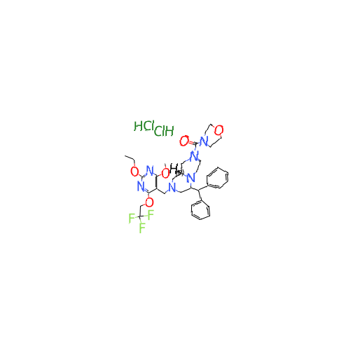 CCOc1nc(OC)c(CN2CC(C(c3ccccc3)c3ccccc3)N3CCN(C(=O)N4CCOCC4)C[C@H]3C2)c(OCC(F)(F)F)n1.Cl.Cl